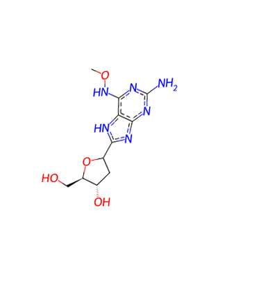 CONc1nc(N)nc2nc(C3C[C@H](O)[C@@H](CO)O3)[nH]c12